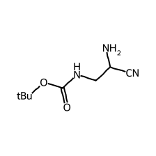 CC(C)(C)OC(=O)NCC(N)C#N